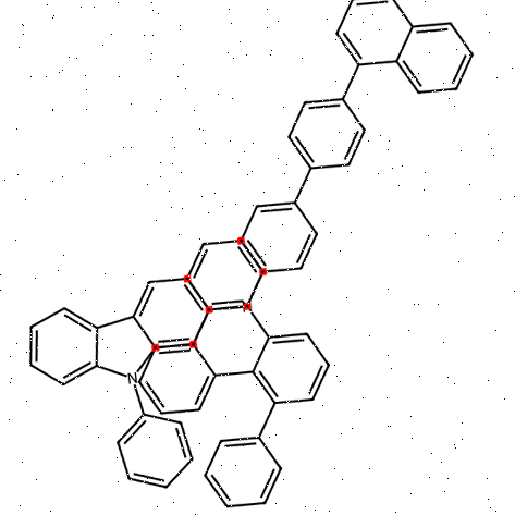 c1ccc(-c2ccccc2-c2c(-c3ccccc3)cccc2N(c2ccc(-c3ccc(-c4cccc5ccccc45)cc3)cc2)c2ccc3c4ccccc4n(-c4ccccc4)c3c2)cc1